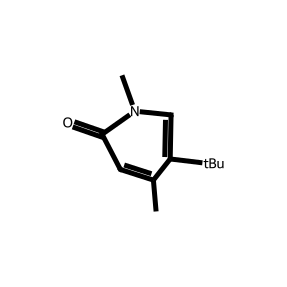 Cc1cc(=O)n(C)cc1C(C)(C)C